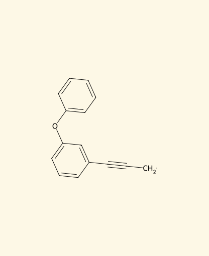 [CH2]C#Cc1cccc(Oc2ccccc2)c1